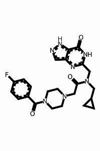 O=C(CN1CCN(C(=O)c2ccc(F)cc2)CC1)N(Cc1nc2cn[nH]c2c(=O)[nH]1)CC1CC1